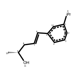 CC(C)c1cccc(/C=C/C[C@@H](C)O)c1